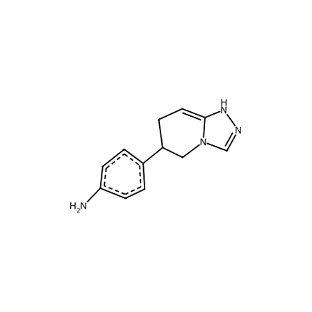 Nc1ccc(C2CC=C3NN=CN3C2)cc1